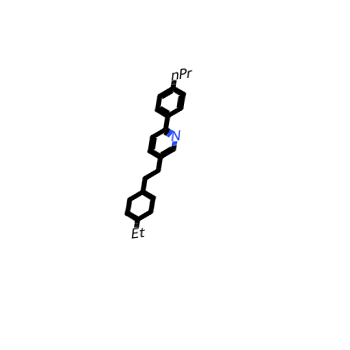 CCCc1ccc(-c2ccc(CCC3CCC(CC)CC3)cn2)cc1